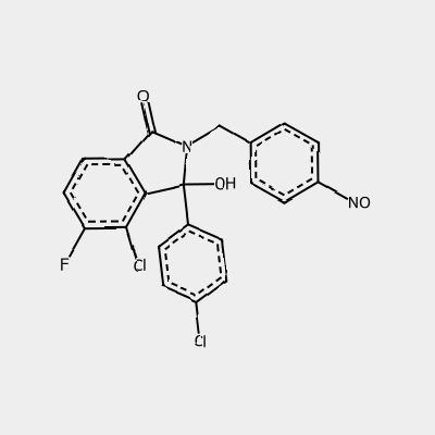 O=Nc1ccc(CN2C(=O)c3ccc(F)c(Cl)c3C2(O)c2ccc(Cl)cc2)cc1